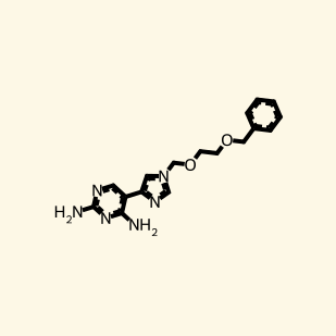 Nc1ncc(-c2cn(COCCOCc3ccccc3)cn2)c(N)n1